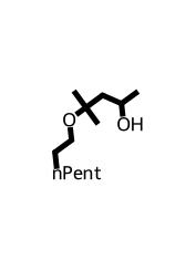 CCCCCCCOC(C)(C)CC(C)O